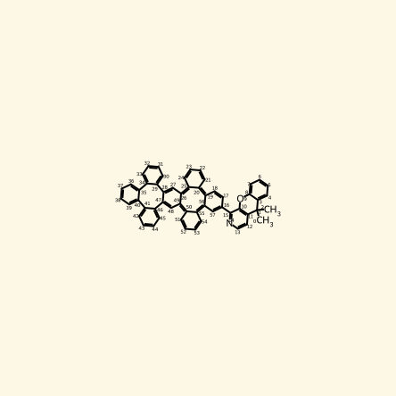 CC1(C)c2ccccc2Oc2c1ccnc2-c1ccc2c3ccccc3c3cc4c5ccccc5c5ccccc5c5ccccc5c4cc3c3ccccc3c2c1